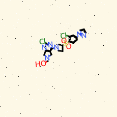 O=S(=O)(c1ccc(-n2cccn2)cc1Cl)[C@H]1CCN(c2nc(Cl)nc3c2CN(CO)C3)C1